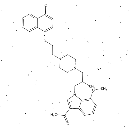 COc1cccc2c(C(C)=O)cn(CC(C)CN3CCN(CCOc4ccc(Cl)c5ccccc45)CC3)c12